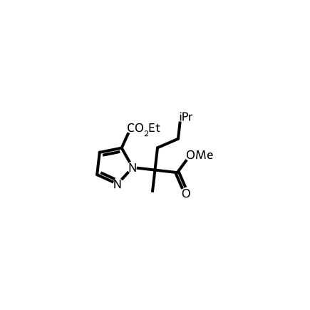 CCOC(=O)c1ccnn1C(C)(CCC(C)C)C(=O)OC